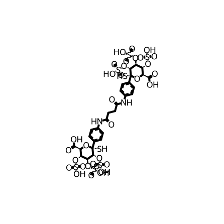 O=C(CCC(=O)Nc1ccc([C@]2(S)O[C@H](C(=O)O)[C@@H](OS(=O)(=O)O)[C@H](OS(=O)(=O)O)[C@H]2OS(=O)(=O)O)cc1)Nc1ccc([C@]2(S)O[C@H](C(=O)O)[C@@H](OS(=O)(=O)O)[C@H](OS(=O)(=O)O)[C@H]2OS(=O)(=O)O)cc1